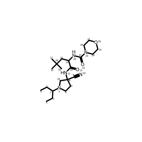 CCC(CC)N1CCC(C#N)(NC(=O)C(CC(C)(C)C)NC(=O)N2CCOCC2)C1